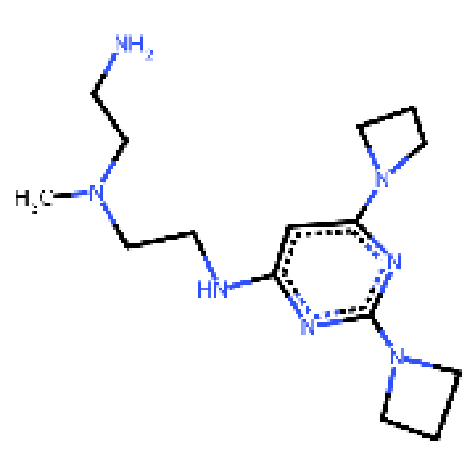 CN(CCN)CCNc1cc(N2CCC2)nc(N2CCC2)n1